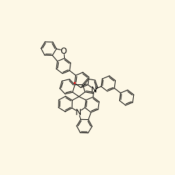 c1ccc(-c2cccc(N(c3ccc(-c4ccc5c(c4)oc4ccccc45)cc3)c3ccc4c5ccccc5n5c4c3C3(c4ccccc4-c4ccccc43)c3ccccc3-5)c2)cc1